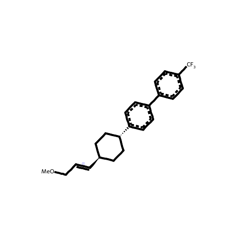 COC/C=C/[C@H]1CC[C@H](c2ccc(-c3ccc(C(F)(F)F)cc3)cc2)CC1